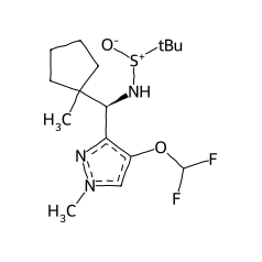 Cn1cc(OC(F)F)c([C@H](N[S+]([O-])C(C)(C)C)C2(C)CCCC2)n1